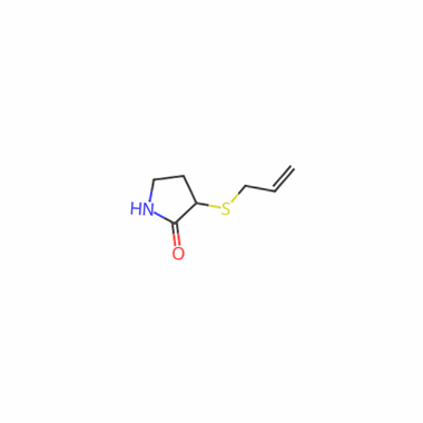 C=CCSC1CCNC1=O